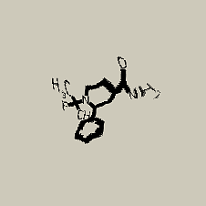 CC(C)(F)N1CCC(C(N)=O)CC1c1ccccc1